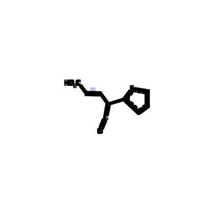 O=C=C(/C=C/C(=O)O)c1cccs1